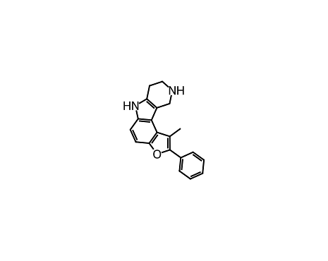 Cc1c(-c2ccccc2)oc2ccc3[nH]c4c(c3c12)CNCC4